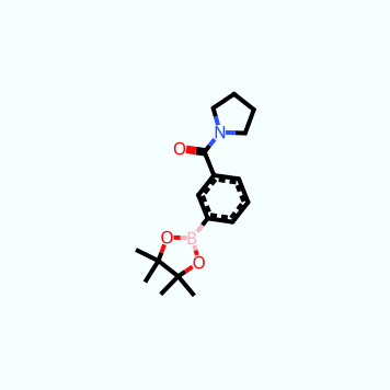 CC1(C)OB(c2cccc(C(=O)N3CCCC3)c2)OC1(C)C